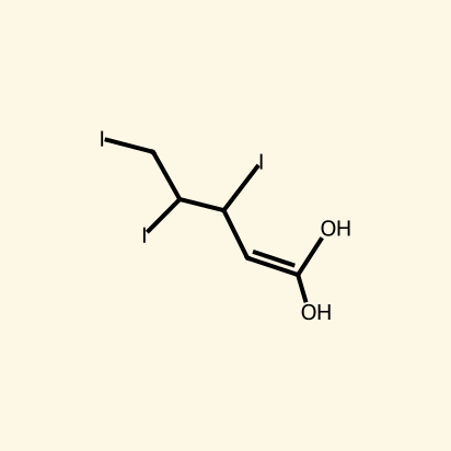 OC(O)=CC(I)C(I)CI